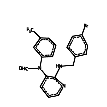 O=CN(c1cccc(C(F)(F)F)c1)c1cccnc1NCc1ccc(Br)cc1